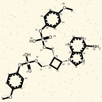 COc1ccc(OP(=O)(O)OC[C@H]2C[C@@H](n3cnc4c(N)ncnc43)[C@H]2COP(=O)(O)Oc2ccc(OC)cc2)cc1